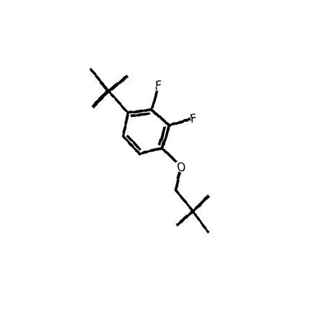 CC(C)(C)COc1ccc(C(C)(C)C)c(F)c1F